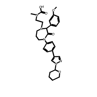 COc1cccc(C2C(=O)N(c3ccc(-c4cnn(C5CCCCO5)c4)cc3)CCCN2CCN(C)C(=O)O)c1